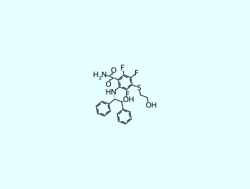 NS(=O)(=O)c1c(F)c(F)c(SCCO)c(F)c1N[C@@H](c1ccccc1)[C@H](O)c1ccccc1